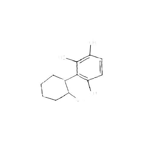 Cc1ccc(C)c(C2CCCCC2C)c1S